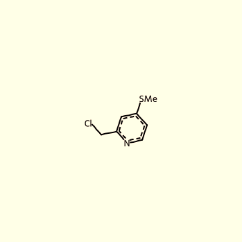 CSc1ccnc(CCl)c1